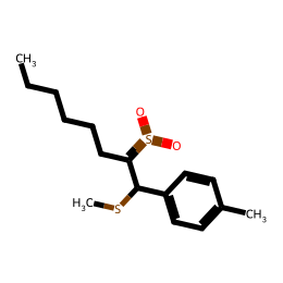 CCCCCCC(C(SC)c1ccc(C)cc1)=S(=O)=O